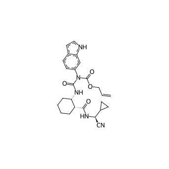 C=CCOC(=O)N(C(=O)N[C@H]1CCCC[C@H]1C(=O)N[C@H](C#N)C1CC1)c1ccc2cc[nH]c2c1